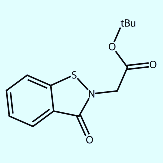 CC(C)(C)OC(=O)Cn1sc2ccccc2c1=O